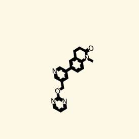 CN1C(=O)CCc2cc(-c3cncc(COc4ncccn4)c3)ccc21